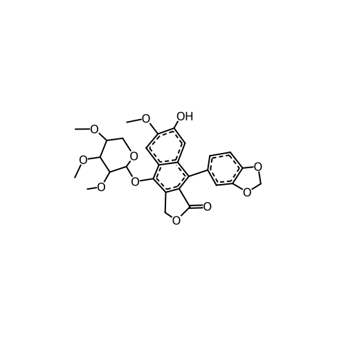 COc1cc2c(OC3OCC(OC)C(OC)C3OC)c3c(c(-c4ccc5c(c4)OCO5)c2cc1O)C(=O)OC3